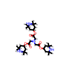 CC1(C)CC(OC(=O)CN(CC(=O)OC2CC(C)(C)NC(C)(C)C2)CC(=O)OC2CC(C)(C)NC(C)(C)C2)CC(C)(C)N1